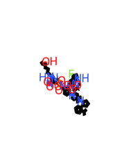 CC[C@@](C)(O)CCCCNc1ncc(S(=O)(=O)NC(=O)c2ccc(N3CCC4(CC3)CN([C@@H]3CCC[C@@H]3c3ccccc3C(C)C)C4)cc2Oc2cc3c(F)c[nH]c3nc2OC[C@H](C)OC)cc1[N+](=O)[O-]